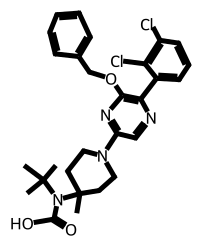 CC(C)(C)N(C(=O)O)C1(C)CCN(c2cnc(-c3cccc(Cl)c3Cl)c(OCc3ccccc3)n2)CC1